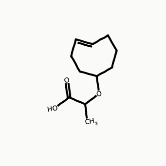 CC(OC1CC/C=C/CCC1)C(=O)O